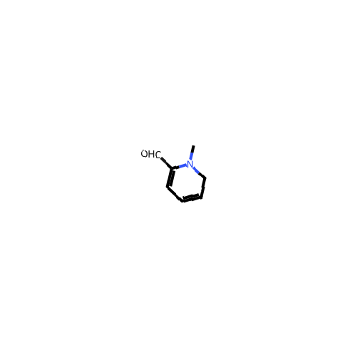 CN1CC=CC=C1C=O